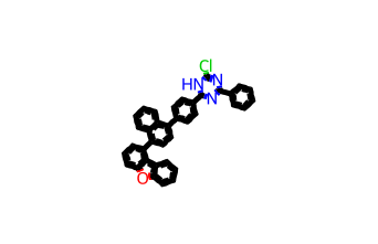 ClC1=NC(c2ccccc2)=NC(c2ccc(-c3ccc(-c4cccc5oc6ccccc6c45)c4ccccc34)cc2)N1